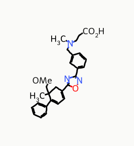 COCC1(C)CC(c2nc(-c3cccc(CN(C)CCC(=O)O)c3)no2)=CC=C1c1ccccc1